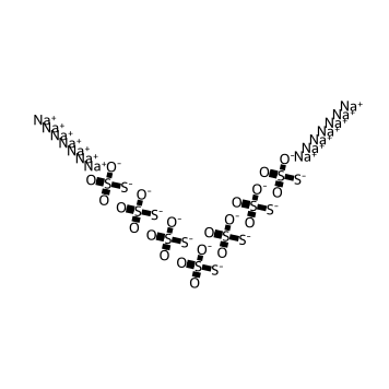 O=S(=O)([O-])[S-].O=S(=O)([O-])[S-].O=S(=O)([O-])[S-].O=S(=O)([O-])[S-].O=S(=O)([O-])[S-].O=S(=O)([O-])[S-].O=S(=O)([O-])[S-].[Na+].[Na+].[Na+].[Na+].[Na+].[Na+].[Na+].[Na+].[Na+].[Na+].[Na+].[Na+].[Na+].[Na+]